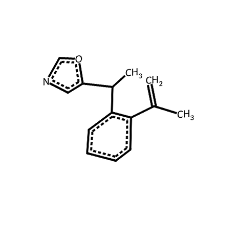 C=C(C)c1ccccc1C(C)c1cnco1